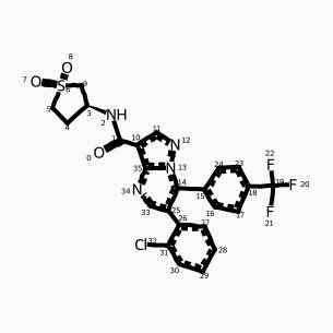 O=C(N[C@H]1CCS(=O)(=O)C1)c1cnn2c(-c3ccc(C(F)(F)F)cc3)c(-c3ccccc3Cl)cnc12